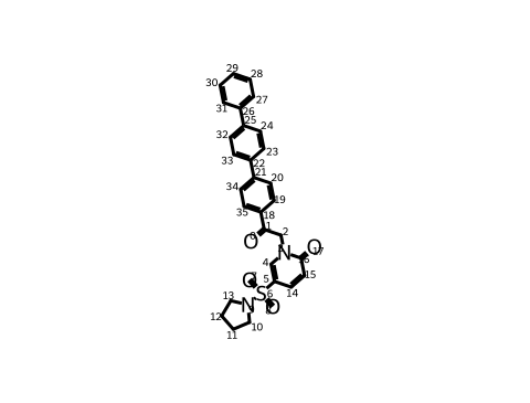 O=C(Cn1cc(S(=O)(=O)N2CCCC2)ccc1=O)c1ccc(-c2ccc(-c3ccccc3)cc2)cc1